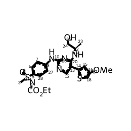 CCOC(=O)N=S(C)(=O)c1ccc(Nc2ncc(-c3cc(OC)cs3)c(N[C@H](C)CO)n2)cc1